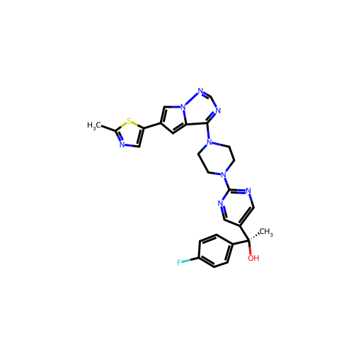 Cc1ncc(-c2cc3c(N4CCN(c5ncc([C@@](C)(O)c6ccc(F)cc6)cn5)CC4)ncnn3c2)s1